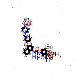 COc1c(NC(=O)Nc2ccc(Oc3ccnc(CN4CCN(C(=O)OC(C)(C)C)CC4)c3)c3ccccc23)cc(C(C)(C)C)cc1NS(C)(=O)=O